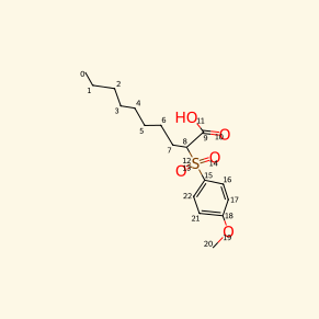 CCCCCCCCC(C(=O)O)S(=O)(=O)c1ccc(OC)cc1